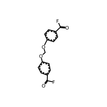 O=C(F)c1ccc(OCOc2ccc(C(=O)F)cc2)cc1